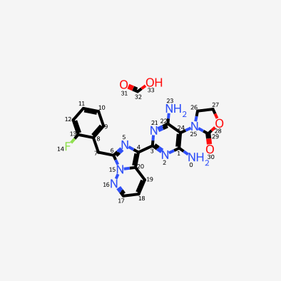 Nc1nc(-c2nc(Cc3ccccc3F)n3ncccc23)nc(N)c1N1CCOC1=O.O=CO